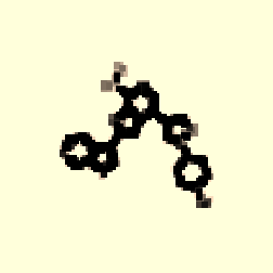 CCNc1ncc(-c2cnn(C3CCN(C(C)=O)CC3)c2)c2cc(-c3csc4cnccc34)oc12